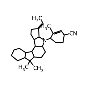 C/C=C1\CCC2C3C4C5CCCCC5C(C)(C)C4CCC3N(C3CCC(C#N)C=C3C)C12